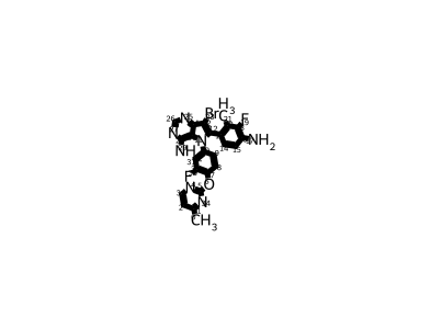 Cc1ccnc(Oc2ccc(-n3c(-c4ccc(N)c(F)c4C)c(Br)c4ncnc(N)c43)cc2F)n1